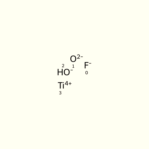 [F-].[O-2].[OH-].[Ti+4]